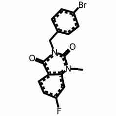 Cn1c(=O)n(Cc2ccc(Br)cc2)c(=O)c2ccc(F)cc21